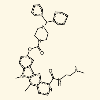 Cc1c2ccnc(C(=O)NCCN(C)C)c2cc2c3cc(OC(=O)N4CCN(C(c5ccccc5)c5ccccc5)CC4)ccc3n(C)c12